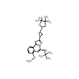 COc1cccc2c1nc(NC(C)(C)C)n1nc(C3CC(B4OC(C)(C)C(C)(C)O4)C3)nc21